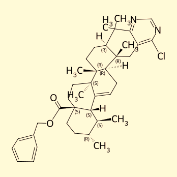 C[C@H]1[C@H](C)CC[C@]2(C(=O)OCc3ccccc3)CC[C@]3(C)C(=CC[C@@H]4[C@@]5(C)Cc6c(Cl)ncnc6C(C)(C)[C@@H]5CC[C@]43C)[C@H]12